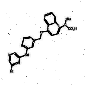 CCc1cncc(Nc2cc(COc3ccc(N(C(=O)O)C(C)(C)C)c4ccccc34)ccn2)n1